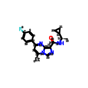 CCc1cc(-c2ccc(F)cc2)nc2c(C(=O)N[C@@H](C)C3CC3)ncn12